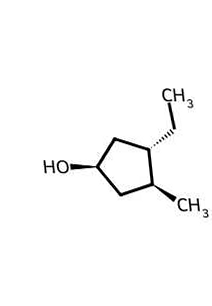 CC[C@H]1C[C@H](O)C[C@@H]1C